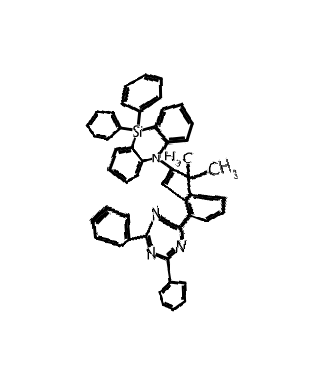 CC1(C)C(N2c3ccccc3[Si](c3ccccc3)(c3ccccc3)c3ccccc32)=Cc2c(-c3nc(-c4ccccc4)nc(-c4ccccc4)n3)cccc21